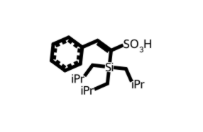 CC(C)C[Si](CC(C)C)(CC(C)C)C(=Cc1ccccc1)S(=O)(=O)O